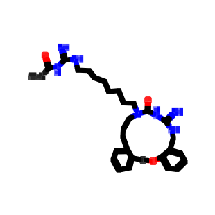 CNC(=O)NC(=N)NCCCCCCCCN1CCCc2ccccc2COc2ccccc2CNC(=N)NC1=O